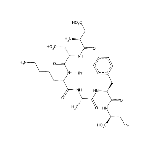 CC(C)C[C@H](NC(=O)[C@H](Cc1ccccc1)NC(=O)[C@H](C)NC(=O)[C@H](CCCCN)N(C(=O)[C@H](CC(=O)O)NC(=O)[C@@H](N)CC(=O)O)C(C)C)C(=O)O